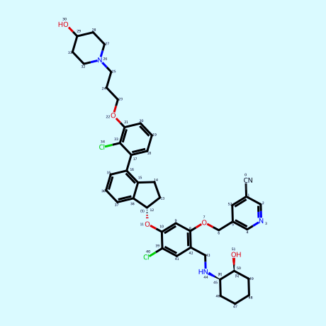 N#Cc1cncc(COc2cc(O[C@H]3CCc4c(-c5cccc(OCCCN6CCC(O)CC6)c5Cl)cccc43)c(Cl)cc2CN[C@@H]2CCCC[C@@H]2O)c1